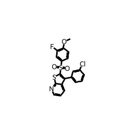 COc1ccc(S(=O)(=O)c2sc3ncccc3c2-c2cccc(Cl)c2)cc1F